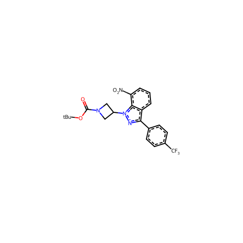 CC(C)(C)OC(=O)N1CC(n2nc(-c3ccc(C(F)(F)F)cc3)c3cccc([N+](=O)[O-])c32)C1